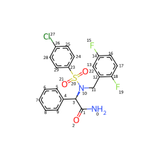 NC(=O)[C@@H](c1ccccc1)N(Cc1cc(F)ccc1F)S(=O)(=O)c1ccc(Cl)cc1